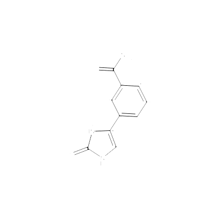 NC(=O)c1cccc(-c2c[nH]c(=S)[nH]2)c1